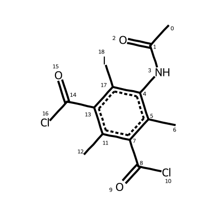 CC(=O)Nc1c(C)c(C(=O)Cl)c(C)c(C(=O)Cl)c1I